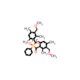 COCc1c(C)cc(C)c(C(=O)P(=O)(C(=O)c2c(C)cc(C)c(COC)c2C)c2ccccc2)c1C